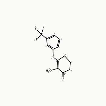 CC1=C(Sc2cccc(C(F)(F)F)c2)CCCC1=O